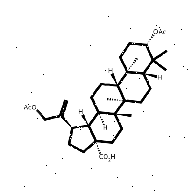 C=C(COC(C)=O)[C@@H]1CC[C@]2(C(=O)O)CC[C@]3(C)[C@H](CC[C@@H]4[C@@]5(C)CC[C@H](OC(C)=O)C(C)(C)[C@@H]5CC[C@]43C)[C@@H]12